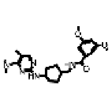 COc1cc(OC)cc(C(=O)NCC2CCC(Nc3ncc(C)c(N(C)C)n3)CC2)c1